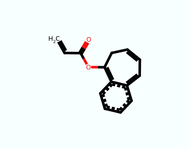 C=CC(=O)OC1=c2ccccc2=CC=CC1